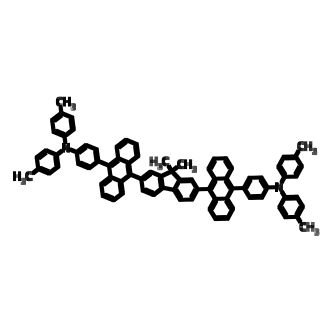 Cc1ccc(N(c2ccc(C)cc2)c2ccc(-c3c4ccccc4c(-c4ccc5c(c4)C(C)(C)c4cc(-c6c7ccccc7c(-c7ccc(N(c8ccc(C)cc8)c8ccc(C)cc8)cc7)c7ccccc67)ccc4-5)c4ccccc34)cc2)cc1